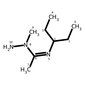 CCC(CC)/N=C(/C)N(C)N